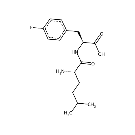 CC(C)CC[C@H](N)C(=O)N[C@@H](Cc1ccc(F)cc1)C(=O)O